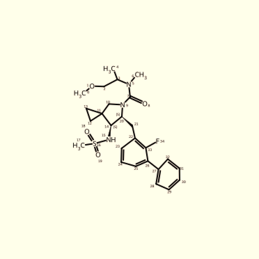 COCC(C)N(C)C(=O)N1CC2(CC2)[C@H](NS(C)(=O)=O)[C@@H]1Cc1cccc(-c2ccccc2)c1F